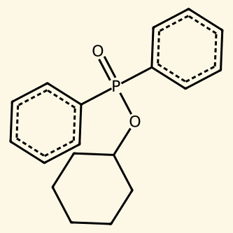 O=P(OC1CCCCC1)(c1ccccc1)c1ccccc1